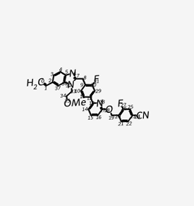 C=Cc1ccc2nc(Cc3ccc(-c4cccc(OCc5ccc(C#N)cc5F)n4)cc3F)n(CCOC)c2c1